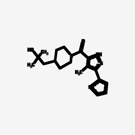 Cc1c(-c2cccs2)n[nH]c1C(=O)N1CCC(CC(C)(C)O)CC1